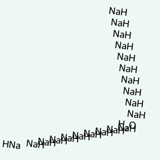 O.[NaH].[NaH].[NaH].[NaH].[NaH].[NaH].[NaH].[NaH].[NaH].[NaH].[NaH].[NaH].[NaH].[NaH].[NaH].[NaH].[NaH].[NaH].[NaH].[NaH]